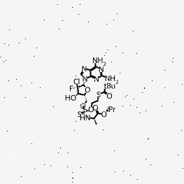 CC(C)OC(=O)[C@@H](C)N[P@@](=S)(OCCSC(=O)C(C)(C)C)OC[C@H]1O[C@@H](n2cnc3c(N)nc(N)nc32)[C@](F)(Cl)[C@@H]1O